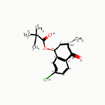 C[C@H]1C[C@H](OC(=O)C(C)(C)C)c2cc(Cl)ccc2C1=O